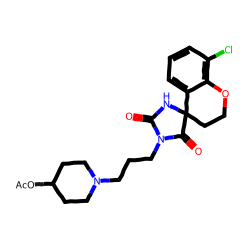 CC(=O)OC1CCN(CCCN2C(=O)NC3(CCOc4c(Cl)cccc43)C2=O)CC1